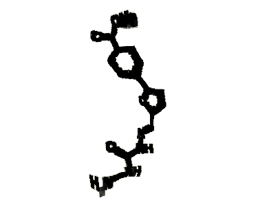 COC(=O)c1ccc(-c2ccc(C=NNC(=O)NN)o2)cc1